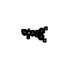 O=C(c1cc2c(cc1F)OC(c1ccc(Cl)cc1)(c1ccc(Cl)cc1)O2)N1CCOCC1